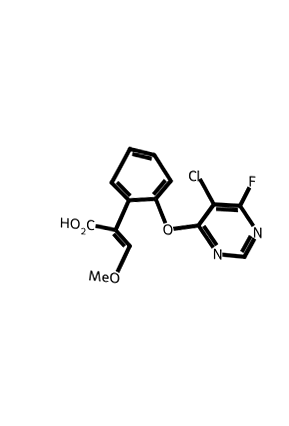 COC=C(C(=O)O)c1ccccc1Oc1ncnc(F)c1Cl